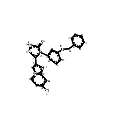 S=c1[nH]nc(-c2cn3ccc(Cl)cc3n2)n1-c1cccc(OCc2ccccc2)c1